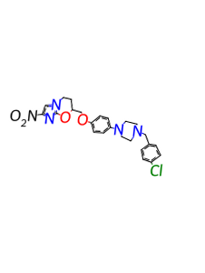 O=[N+]([O-])c1cn2c(n1)OC(COc1ccc(N3CCN(Cc4ccc(Cl)cc4)CC3)cc1)CC2